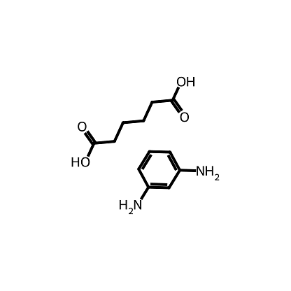 Nc1cccc(N)c1.O=C(O)CCCCC(=O)O